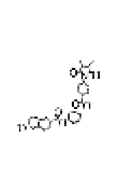 COc1ccc2cc(C(=O)Oc3cccc(OC(=O)c4ccc(N5C(=O)C(C)=C(C)C5=O)cc4)c3)ccc2c1